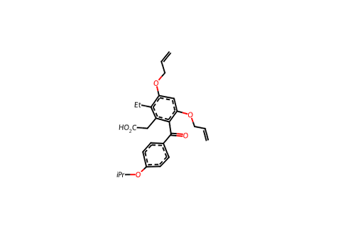 C=CCOc1cc(OCC=C)c(C(=O)c2ccc(OC(C)C)cc2)c(CC(=O)O)c1CC